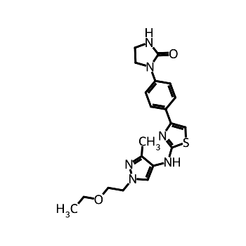 CCOCCn1cc(Nc2nc(-c3ccc(N4CCNC4=O)cc3)cs2)c(C)n1